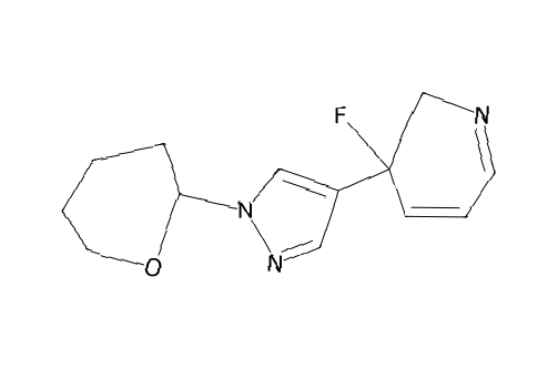 FC1(c2cnn(C3CCCCO3)c2)C=CC=NC1